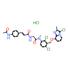 CC(=O)Nc1ccc(/C=C/C(=O)NCC(=O)N(C)c2ccc(Cl)c(COc3cccn4c(Cl)c(C)nc34)c2Cl)cc1.Cl